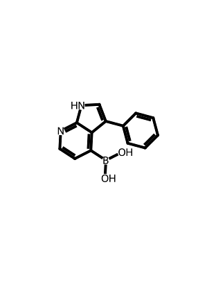 OB(O)c1ccnc2[nH]cc(-c3ccccc3)c12